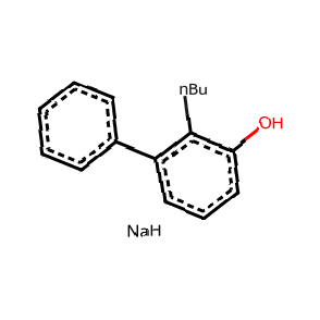 CCCCc1c(O)cccc1-c1ccccc1.[NaH]